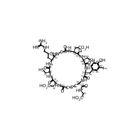 N=C(N)NCCC[C@@H]1NC(=O)[C@H](CS)NC(=O)[C@H](CC(=O)O)NC(=O)CSC[C@@H](C(=O)NCC(=O)O)NC(=O)[C@H](Cc2ccc(O)c(I)c2)NC(=O)[C@H](CS)NC(=O)[C@H](CC(=O)O)NC(=O)CNC1=O